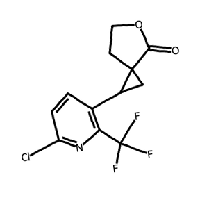 O=C1OCCC12CC2c1ccc(Cl)nc1C(F)(F)F